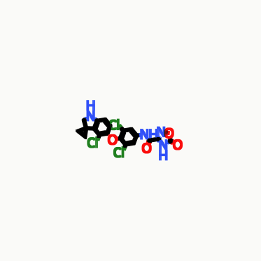 O=C(Nc1cc(Cl)c(Oc2ccc3c(c2Cl)C2(CC2)CN3)c(Cl)c1)c1noc(=O)[nH]1